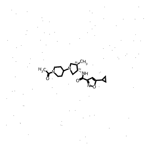 CC(=O)N1CCC(N2C[C@@H](C)[C@H](NC(=O)c3cc(C4CC4)on3)C2)CC1